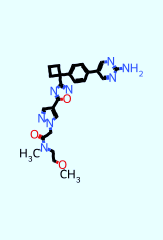 COCCN(C)C(=O)Cn1cc(-c2nc(C3(c4ccc(-c5cnc(N)nc5)cc4)CCC3)no2)cn1